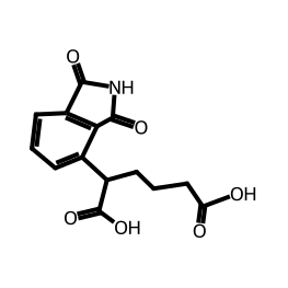 O=C(O)CCCC(C(=O)O)c1cccc2c1C(=O)NC2=O